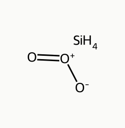 O=[O+][O-].[SiH4]